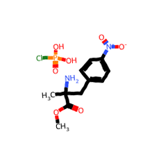 COC(=O)C(C)(N)Cc1ccc([N+](=O)[O-])cc1.O=P(O)(O)Cl